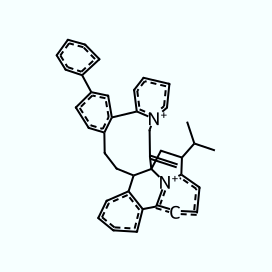 C=C1C[n+]2ccccc2-c2cc(-c3ccccc3)ccc2CCC2c3ccccc3-c3cccc4[n+]3C12CC4C(C)C